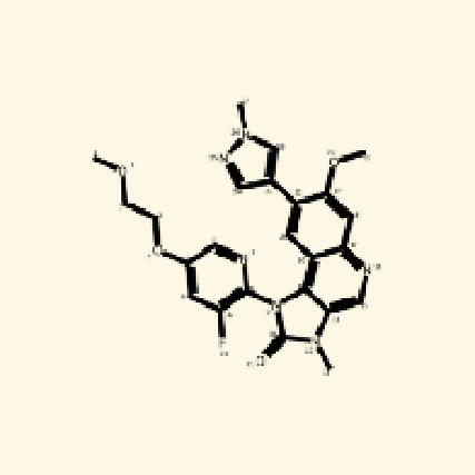 COCCOc1cnc(-n2c(=O)n(C)c3cnc4cc(OC)c(-c5cnn(C)c5)cc4c32)c(F)c1